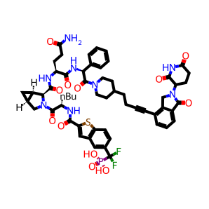 CCCC[C@H](NC(=O)c1cc2cc(C(F)(F)P(=O)(O)O)ccc2s1)C(=O)N1C[C@H]2C[C@H]2[C@H]1C(=O)N[C@@H](CCC(N)=O)C(=O)N[C@H](C(=O)N1CCC(CCC#Cc2cccc3c2CN(C2CCC(=O)NC2=O)C3=O)CC1)c1ccccc1